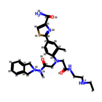 CCNCCNC(=O)CN(CC(=O)N(C)N1Cc2ccccc2C1)c1ccc(-c2nc(C(N)=O)cs2)cc1C